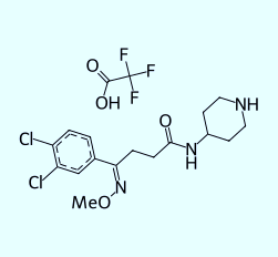 CON=C(CCC(=O)NC1CCNCC1)c1ccc(Cl)c(Cl)c1.O=C(O)C(F)(F)F